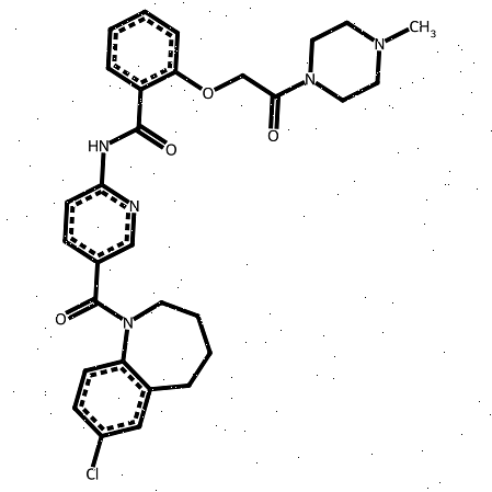 CN1CCN(C(=O)COc2ccccc2C(=O)Nc2ccc(C(=O)N3CCCCc4cc(Cl)ccc43)cn2)CC1